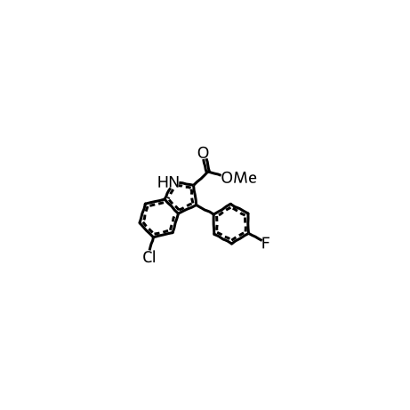 COC(=O)c1[nH]c2ccc(Cl)cc2c1-c1ccc(F)cc1